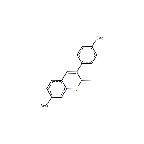 CC(=O)Oc1ccc(C2=Cc3ccc(OC(C)=O)cc3SC2C)cc1